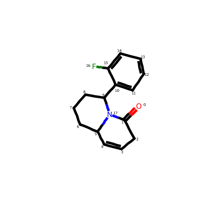 O=C1CC=CC2CCCC(c3ccccc3F)N12